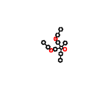 O=C1C(c2ccccc2)=C(c2ccc(Oc3ccc(-c4ccccc4)cc3)cc2)C(c2ccc(Oc3ccc(-c4ccccc4)cc3)cc2)=C1c1ccc(-c2ccccc2)cc1